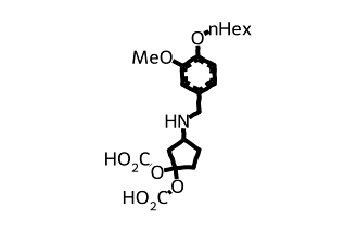 CCCCCCOc1ccc(CNC2CCC(OC(=O)O)(OC(=O)O)C2)cc1OC